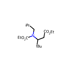 CCOC(=O)CC(N(CC(C)C)C(=O)OCC)C(C)(C)C